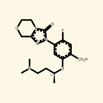 C[C@@H](CCN(C)C)Oc1cc(-n2nc3n(c2=O)CCOC3)c(F)cc1C(=O)O